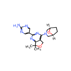 CC1(C)OCc2c(N3C[C@H]4CC[C@@H](C3)O4)nc(-c3cnc(N)nc3)nc21